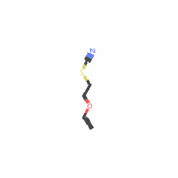 C=COCCSC#N